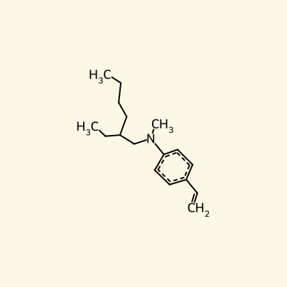 C=Cc1ccc(N(C)CC(CC)CCCC)cc1